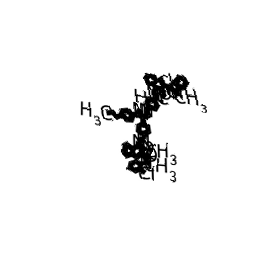 CCCc1ccc(-c2nn(-c3ccc(N=Nc4c(OC)c(CON(C)c5ccccc5Cl)cc5ccccc45)cc3)cc2-c2ccc(N=Nc3c(OC)c(C(=O)N(C)c4ccccc4Cl)cc4ccccc34)cc2)cc1